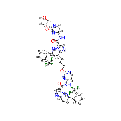 O=C(Nc1ccnc(OCCCc2cc(-c3ccccc3C(F)(F)F)nn3c(C(=O)Nc4ccnc(O[C@H]5CCOC5)n4)cnc23)n1)c1cnc2ccc(-c3ccccc3C(F)(F)F)nn12